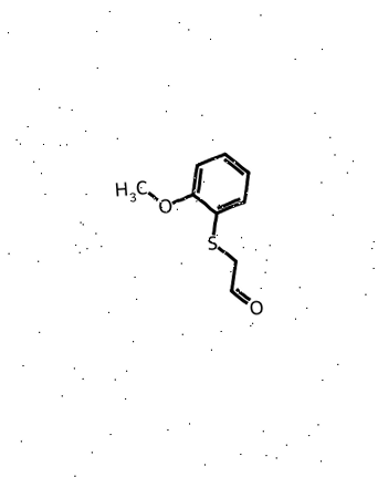 COc1ccccc1SCC=O